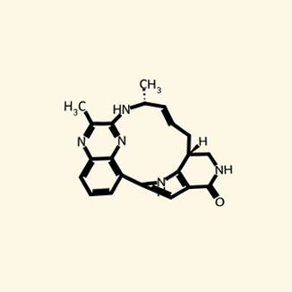 Cc1nc2cccc3c2nc1N[C@H](C)/C=C/C[C@@H]1CNC(=O)c2cc-3[nH]c21